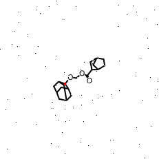 O=C(OCOC1C2CC3CC(C2)CC1C3)C1CC2CCC1C2